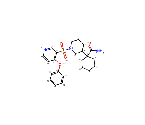 NC(=O)C1(C2CCCN(S(=O)(=O)c3cnccc3Oc3ccccc3)C2)CCCCC1